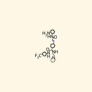 Nc1ccccc1NC(=O)/C=C/c1ccc(C(NCCN2CCCCC2)C(=O)Nc2ccc(C(F)(F)F)cc2)cc1